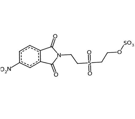 O=C1c2ccc([N+](=O)[O-])cc2C(=O)N1CCS(=O)(=O)CCOS(=O)(=O)O